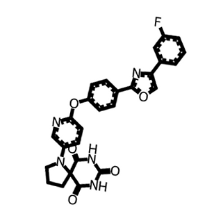 O=C1NC(=O)C2(CCCN2c2ccc(Oc3ccc(-c4nc(-c5cccc(F)c5)co4)cc3)nc2)C(=O)N1